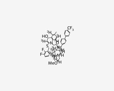 [2H]C1=C(SCc2cccc(F)c2F)N(CC(=O)N(Cc2ccc(-c3ccc(C(F)(F)F)cc3)cc2)C2([2H])C([2H])([2H])C([2H])([2H])N(CC([2H])([2H])OC)C([2H])([2H])C2([2H])[2H])c2c([2H])c([2H])c(C)c([2H])c2C1O